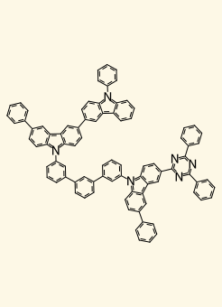 c1ccc(-c2ccc3c(c2)c2cc(-c4ccc5c(c4)c4ccccc4n5-c4ccccc4)ccc2n3-c2cccc(-c3cccc(-c4cccc(-n5c6ccc(-c7ccccc7)cc6c6cc(-c7nc(-c8ccccc8)nc(-c8ccccc8)n7)ccc65)c4)c3)c2)cc1